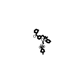 Cc1ccc(S(=O)(=O)OCCN2c3ccccc3C(C)(C)C23C=Cc2cc(C(=O)c4ccccc4)ccc2O3)cc1